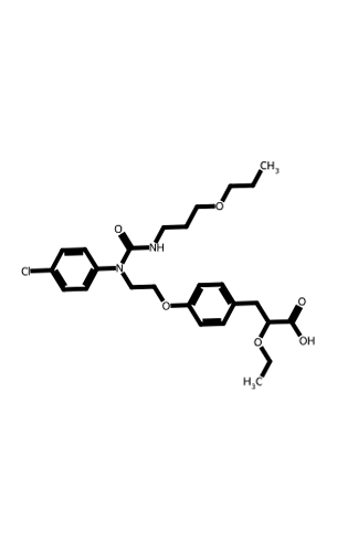 CCCOCCCNC(=O)N(CCOc1ccc(CC(OCC)C(=O)O)cc1)c1ccc(Cl)cc1